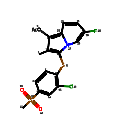 CC(=O)Oc1c(C)c(Sc2ccc(S(C)(=O)=O)cc2Cl)n2cc(F)ccc12